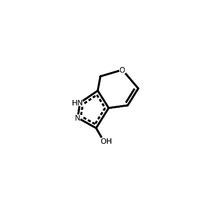 Oc1n[nH]c2c1C=COC2